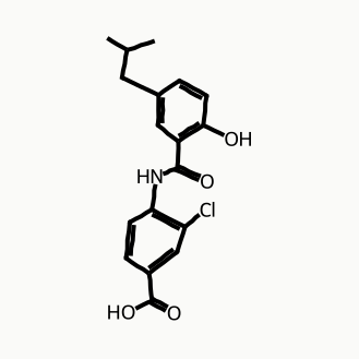 CC(C)Cc1ccc(O)c(C(=O)Nc2ccc(C(=O)O)cc2Cl)c1